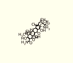 CN(C)[C@@H]1C(O)=C(C(N)=O)C(=O)C2(O)C(O)=C3C(=O)c4c(O)cc(CN(C)C(C)(C)C(N)=O)c(Cl)c4C[C@H]3C[C@@H]12